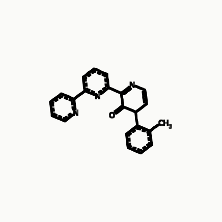 Cc1ccccc1C1C=CN=C(c2cccc(-c3ccccn3)n2)C1=O